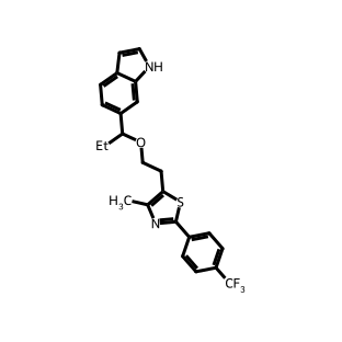 CCC(OCCc1sc(-c2ccc(C(F)(F)F)cc2)nc1C)c1ccc2cc[nH]c2c1